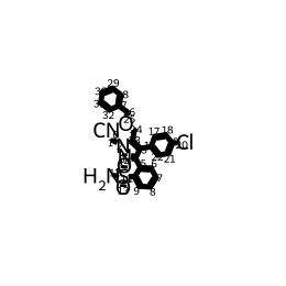 N#CCn1nc(-c2ccccc2S(N)(=O)=O)c(-c2ccc(Cl)cc2)c1COCc1ccccc1